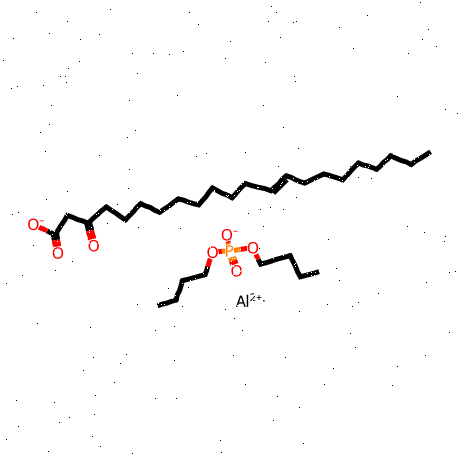 CCCCCCCCC=CCCCCCCCCCC(=O)CC(=O)[O-].CCCCOP(=O)([O-])OCCCC.[Al+2]